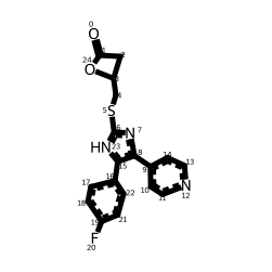 O=C1CC(CSc2nc(-c3ccncc3)c(-c3ccc(F)cc3)[nH]2)O1